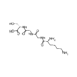 NCCCC[C@H](N)C(=O)NCC(=O)NCC(=O)N[C@@H](CO)C(=O)O